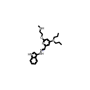 CCCN(CCC)c1cc(/C=N/Nc2c[nH]c3ccccc23)nc(OCCNC)c1